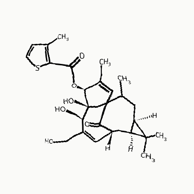 CC1=CC23C(=O)[C@@H](C=C(CO)[C@@H](O)[C@]2(O)[C@H]1OC(=O)c1sccc1C)[C@H]1[C@@H](CC3C)C1(C)C